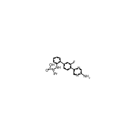 CC(C)N(Nc1ccccc1-c1ccc(-c2cnc(N)cn2)c(F)c1)S(=O)O